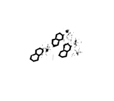 O=S(=O)([O-])c1ccc2ccccc2c1O.O=S(=O)([O-])c1ccc2ccccc2c1O.O=S(=O)([O-])c1ccc2ccccc2c1O.[Al+3]